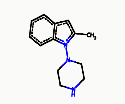 Cc1cc2ccccc2n1N1CCNCC1